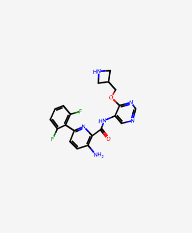 Nc1ccc(-c2c(F)cccc2F)nc1C(=O)Nc1cncnc1OCC1CNC1